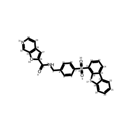 O=C(NCc1ccc(S(=O)(=O)c2cccc3c2sc2ccccc23)cc1)c1cc2ccncc2o1